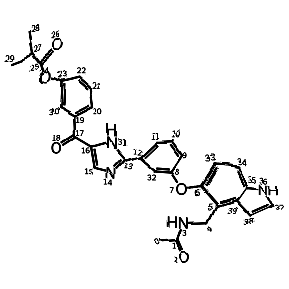 CC(=O)NCc1c(Oc2cccc(-c3ncc(C(=O)c4cccc(OC(=O)C(C)C)c4)[nH]3)c2)ccc2[nH]ccc12